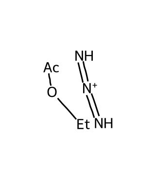 CCOC(C)=O.N=[N+]=N